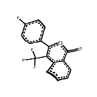 O=c1oc(-c2ccc(F)cc2)c(C(F)(F)F)c2ccccc12